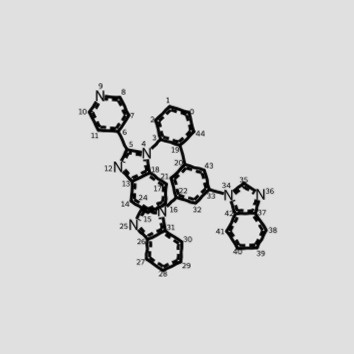 c1ccc(-n2c(-c3ccncc3)nc3ccccc32)c(-c2cc(-n3cnc4ccccc43)cc(-n3cnc4ccccc43)c2)c1